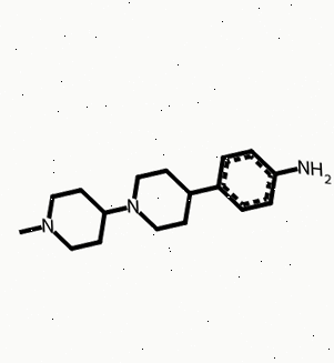 CN1CCC(N2CCC(c3ccc(N)cc3)CC2)CC1